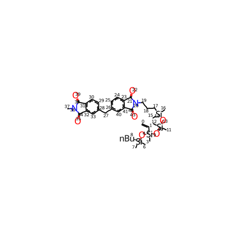 C=C[Si](C)(O[Si](C)(C)CCCC)O[Si](C)(C)O[Si](C)(C)CCCN1C(=O)c2ccc(Cc3ccc4c(c3)C(=O)N(C)C4=O)cc2C1=O